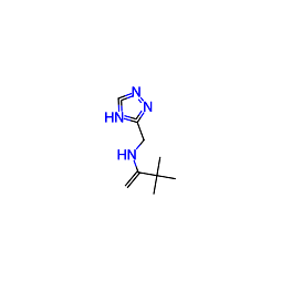 C=C(NCc1nnc[nH]1)C(C)(C)C